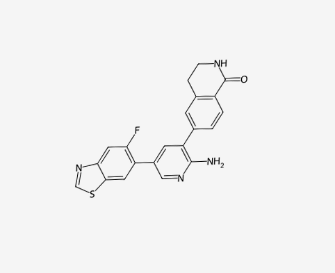 Nc1ncc(-c2cc3scnc3cc2F)cc1-c1ccc2c(c1)CCNC2=O